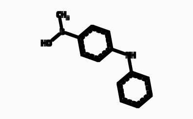 CB(O)c1ccc(Nc2ccccc2)cc1